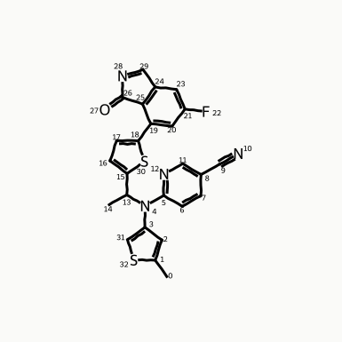 Cc1cc(N(c2ccc(C#N)cn2)C(C)c2ccc(-c3cc(F)cc4c3C(=O)N=C4)s2)cs1